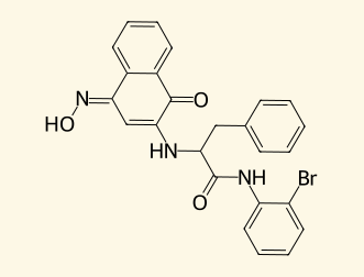 O=C1C(NC(Cc2ccccc2)C(=O)Nc2ccccc2Br)=CC(=NO)c2ccccc21